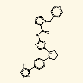 O=C(Nc1nc([C@H]2CCCN2c2ccc(-c3ncc[nH]3)cc2)cs1)c1cccn1Cc1ccncc1